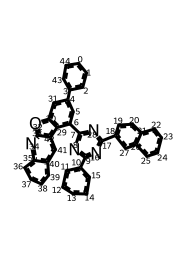 c1ccc(-c2cc(-c3nc(-c4ccccc4)nc(-c4ccc5ccccc5c4)n3)c3c(c2)oc2nc4ccccc4cc23)cc1